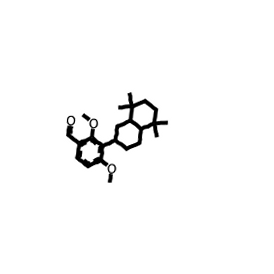 COc1ccc(C=O)c(OC)c1C1CCC2C(C1)C(C)(C)CCC2(C)C